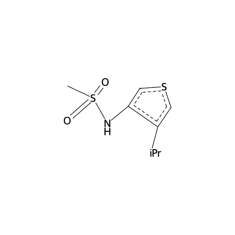 CC(C)c1cscc1NS(C)(=O)=O